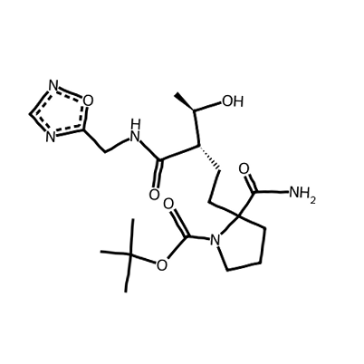 C[C@@H](O)[C@H](CCC1(C(N)=O)CCCN1C(=O)OC(C)(C)C)C(=O)NCc1ncno1